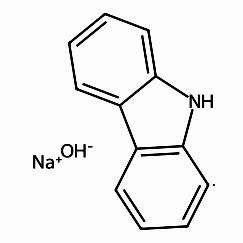 [Na+].[OH-].[c]1cccc2c1[nH]c1ccccc12